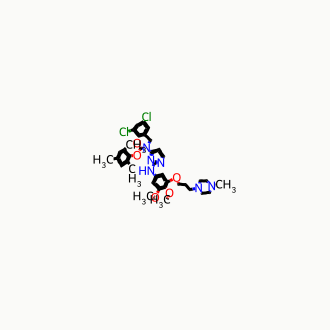 COc1cc(Nc2nccc(N(Cc3cc(Cl)cc(Cl)c3)C(=O)Oc3c(C)cc(C)cc3C)n2)cc(OCCCN2CCN(C)CC2)c1OC